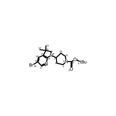 CC(C)(C)OC(=O)N1CCC(N2CC(C)(C)c3cc(Br)cnc32)CC1